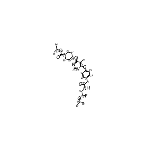 Cc1c(Oc2ccc(CC(=O)NCC(F)OC(C)C)cc2)ncnc1OC1CCN(C(=O)OC(C)C)CC1